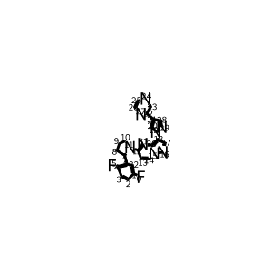 Fc1ccc(F)c(C2CCCN2c2ccn3ncc(-n4cc(-c5cnccn5)cn4)c3n2)c1